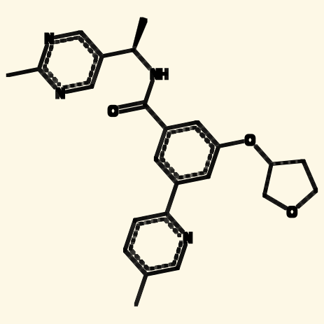 Cc1ccc(-c2cc(OC3CCOC3)cc(C(=O)N[C@H](C)c3cnc(C)nc3)c2)nc1